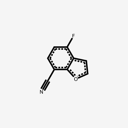 N#Cc1ccc(F)c2ccoc12